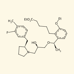 CCOC(=O)CCCCc1c(OCC)cccc1[C@@H](C)OC[C@H](O)CN1CCC[C@H]1Cc1ccc(C)c(F)c1